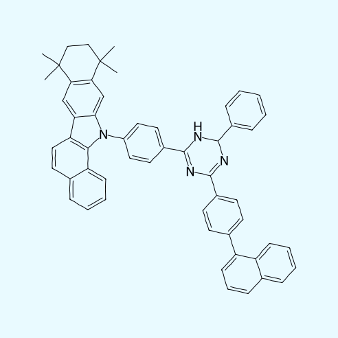 CC1(C)CCC(C)(C)c2cc3c(cc21)c1ccc2ccccc2c1n3-c1ccc(C2=NC(c3ccc(-c4cccc5ccccc45)cc3)=NC(c3ccccc3)N2)cc1